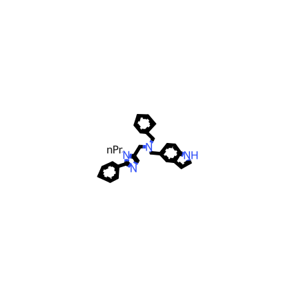 CCCn1c(CN(Cc2ccccc2)Cc2ccc3[nH]ccc3c2)cnc1-c1ccccc1